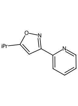 CC(C)c1cc(-c2ccccn2)no1